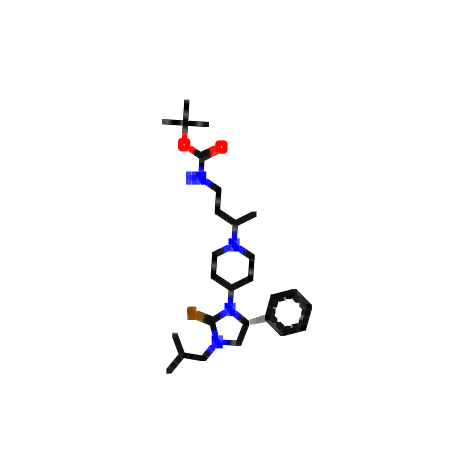 CC(C)CN1C[C@@H](c2ccccc2)N(C2CCN(C(C)CCNC(=O)OC(C)(C)C)CC2)C1=S